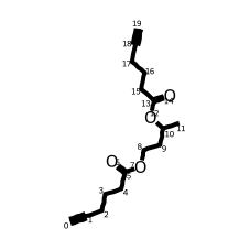 C#CCCCC(=O)OCCC(C)OC(=O)CCCC#C